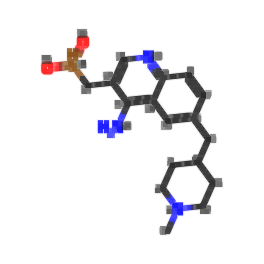 CN1CCC(Cc2ccc3ncc(C[SH](=O)=O)c(N)c3c2)CC1